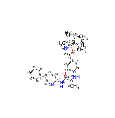 CC(Nc1ccc(-c2cnc([Si](C(C)C)(C(C)C)C(C)C)o2)cc1)C(=O)Nc1ccc(-c2ccccc2)cn1